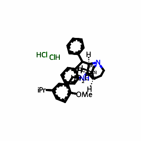 COc1ccc(C(C)C)cc1CN[C@@H]1[C@@H]2CCN(C[C@H]2C(=O)O)[C@@H]1C(c1ccccc1)c1ccccc1.Cl.Cl